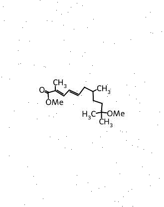 COC(=O)C(C)=CC=CCC(C)CCC(C)(C)OC